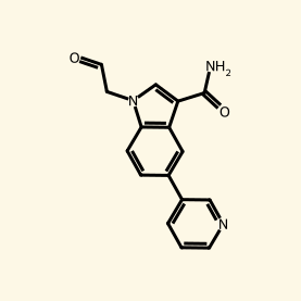 NC(=O)c1cn(CC=O)c2ccc(-c3cccnc3)cc12